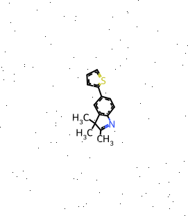 CC1=Nc2ccc(-c3cccs3)cc2C1(C)C